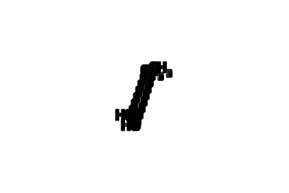 CCCCCCCCCCCCCC(=O)O.CCCCCCCCCCCCCCCCCCO